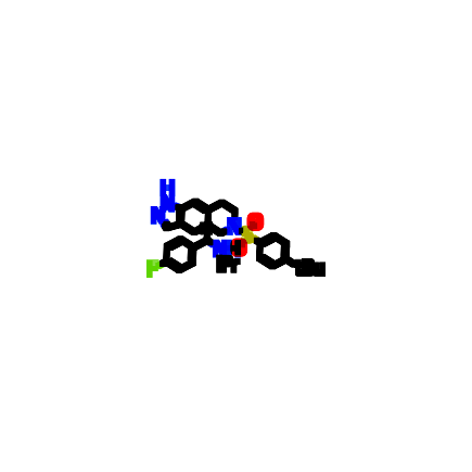 CC(C)NC(c1ccc(F)cc1)[C@@]12Cc3cn[nH]c3C=C1CCN(S(=O)(=O)c1ccc(C(C)(C)C)cc1)C2